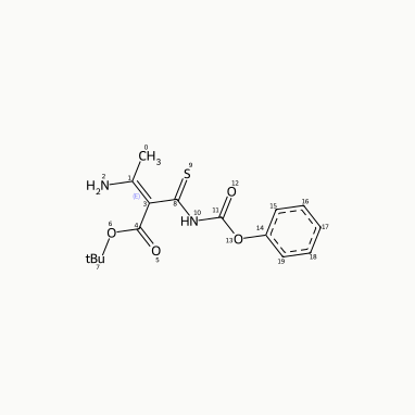 C/C(N)=C(/C(=O)OC(C)(C)C)C(=S)NC(=O)Oc1ccccc1